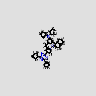 CC1(C)c2cc(-c3nc(-c4ccccc4)nc(-c4ccccc4)n3)ccc2-n2c3ccc4ccccc4c3c3cc(N(c4ccccc4)c4ccccc4)cc1c32